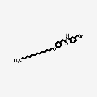 CCCCCCCCCCCCCCOc1ccc(CC(=O)Nc2cccc(CBr)c2)cc1